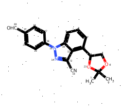 CC1(C)OCC(c2cccc3c2c(C#N)nn3-c2ccc(C=O)cc2)O1